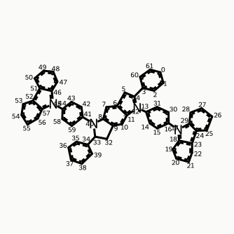 c1ccc(-c2cc3cc4c(cc3n2-c2ccc(-n3c5ccccc5c5ccccc53)cc2)CC(c2ccccc2)N4c2ccc(-n3c4ccccc4c4ccccc43)cc2)cc1